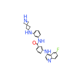 O=C(Nc1cccc(NC2CC3(CNC3)C2)c1)c1cccc(Nc2ccnc3ccc(F)cc23)c1